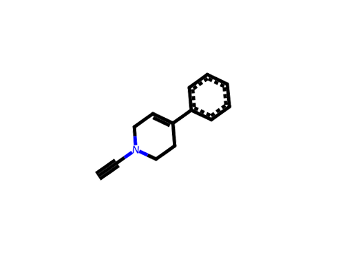 C#CN1CC=C(c2ccccc2)CC1